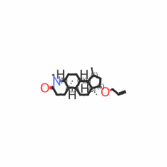 C=CCO[C@H]1C[C@H](C)[C@H]2[C@@H]3CC[C@H]4N(C)C(=O)CC[C@]4(C)[C@H]3CC[C@@]21C